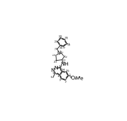 COc1ccc2c(C)nnc(NC3CCN(Cc4ccccc4)CC3)c2c1